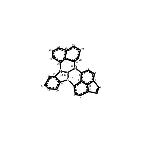 C1=Cc2ccc3c4c(ccc1c24)N1B2N(c4ccccc41)c1cccc4cccc(c14)N23